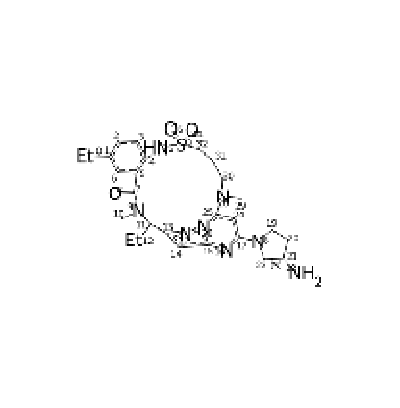 CCc1ccc2c(c1)C(=O)N(C)C(CC)c1cc3nc(N4CC[C@H](N)C4)cc(n3n1)N(C)CCCS(=O)(=O)N2